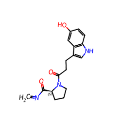 C=NC(=O)[C@@H]1CCCN1C(=O)CCc1c[nH]c2ccc(O)cc12